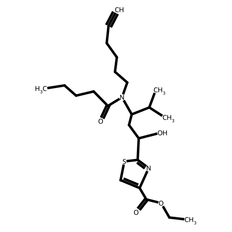 C#CCCCCN(C(=O)CCCC)C(CC(O)c1nc(C(=O)OCC)cs1)C(C)C